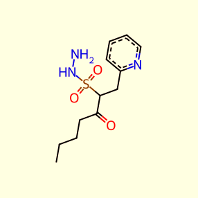 CCCCC(=O)C(Cc1ccccn1)S(=O)(=O)NN